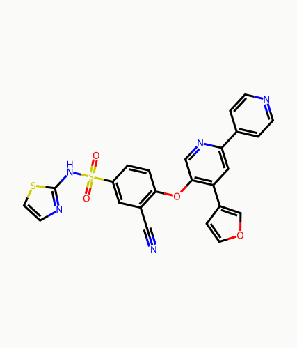 N#Cc1cc(S(=O)(=O)Nc2nccs2)ccc1Oc1cnc(-c2ccncc2)cc1-c1ccoc1